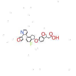 O=C(O)C[C@@H]1COc2cc(O[C@@H]3CCc4c(-c5cccnc5-c5ccoc5)ccc(F)c43)ccc21